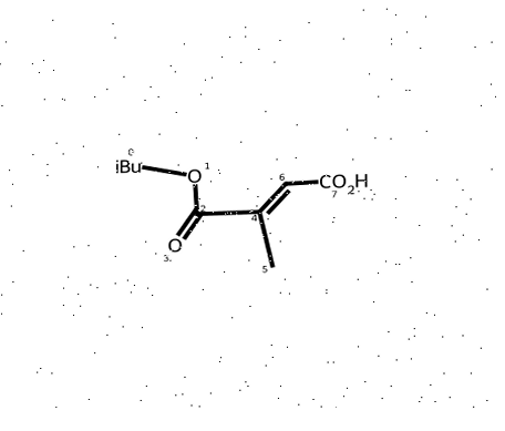 CCC(C)OC(=O)C(C)=CC(=O)O